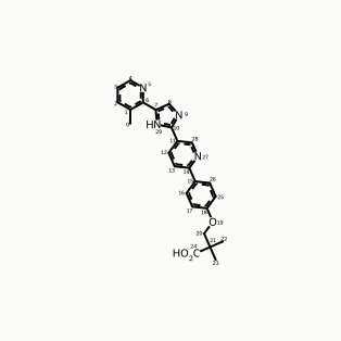 Cc1cccnc1-c1cnc(-c2ccc(-c3ccc(OCC(C)(C)C(=O)O)cc3)nc2)[nH]1